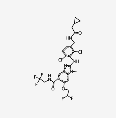 Cn1c(Nc2c(Cl)ccc(CNC(=O)CC3CC3)c2Cl)nc2cc(C(=O)NCC(F)(F)F)c(OCC(F)F)cc21